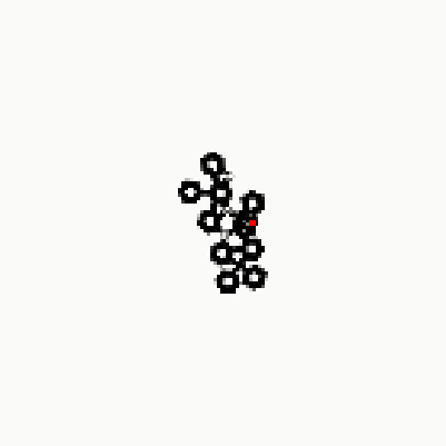 c1ccc(-c2c3c(cc4c2c2cccc(N(c5ccccc5)c5cccc6c5-c5ccccc5C6(c5ccccc5)c5ccccc5)c2n4-c2cccc4ccccc24)oc2ccccc23)cc1